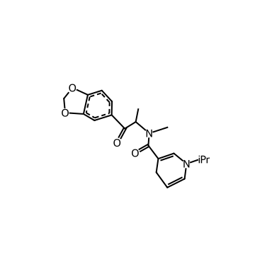 CC(C)N1C=CCC(C(=O)N(C)C(C)C(=O)c2ccc3c(c2)OCO3)=C1